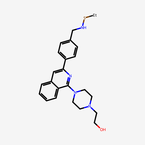 CCSNCc1ccc(-c2cc3ccccc3c(N3CCN(CCO)CC3)n2)cc1